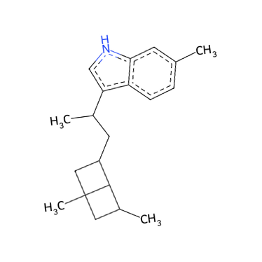 Cc1ccc2c(C(C)CC3CC4(C)CC(C)C34)c[nH]c2c1